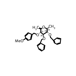 C=C1O[C@@H](C)[C@H](OCc2ccccc2)[C@@H](OCc2ccccc2)[C@@H]1OCc1ccc(OC)cc1